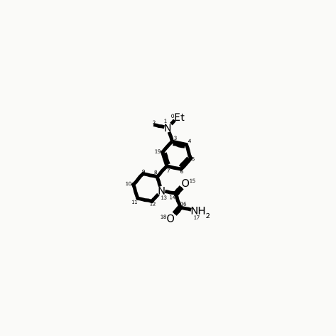 CCN(C)c1cccc(C2CCCCN2C(=O)C(N)=O)c1